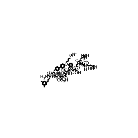 CCc1cc(OCCCCN=[N+]=[N-])ccc1-c1ccc(C[C@H](NC(=O)[C@H](CC(=O)O)NC(=O)[C@H](CO)NC(=O)[C@@H](NC(=O)[C@](C)(Cc2ccccc2F)NC(=O)[C@@H](NC(=O)CNC(=O)[C@H](Cc2nn[nH]n2)NC(=O)C(C)(C)NC(=O)CCc2cnc[nH]2)[C@@H](C)O)[C@@H](C)O)C(=O)N[C@@H](CCCc2cc(C)cc(C)c2)C(N)=O)cc1